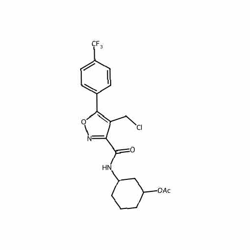 CC(=O)OC1CCCC(NC(=O)c2noc(-c3ccc(C(F)(F)F)cc3)c2CCl)C1